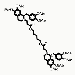 COc1ccc(C[C@@H]2c3cc(OC)c(OC)cc3CCN2CCC(=O)OCCCCCOC(=O)CCN2CCc3cc(OC)c(OC)cc3[C@H]2Cc2ccc(OC)c(OC)c2)cc1OC